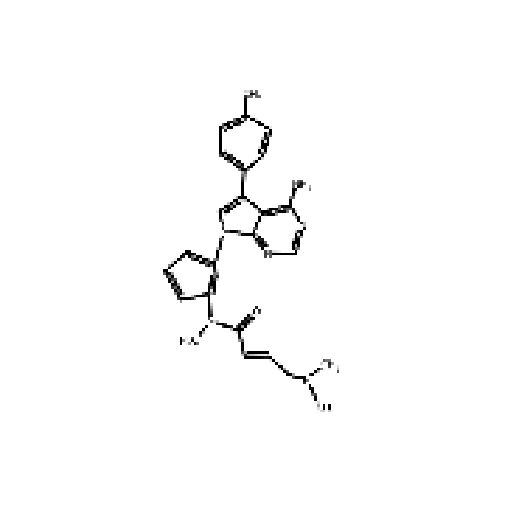 Cc1ccc(-c2cn(-c3cccc(N(C)C(=O)/C=C/CN(C)C)c3)c3ncnc(N)c23)cc1